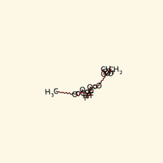 C=CC(=O)OCC(CCCCCCOc1ccc(C(=O)Oc2ccc(OC(=O)c3ccc(OCCCCCCCCCCC)cc3)c(C(F)(F)F)c2C(F)(F)F)cc1)OC(=O)C=C